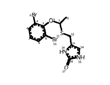 CC(Oc1c(Br)cccc1Br)SCc1c[nH]c(=O)[nH]1